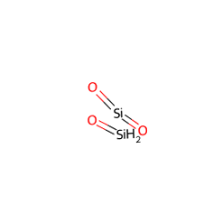 O=[SiH2].O=[Si]=O